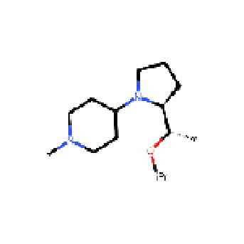 CC(C)O[C@@H](C)[C@@H]1CCCN1C1CCN(C)CC1